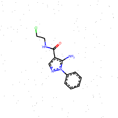 Nc1c(C(=O)NCCCl)cnn1-c1ccccc1